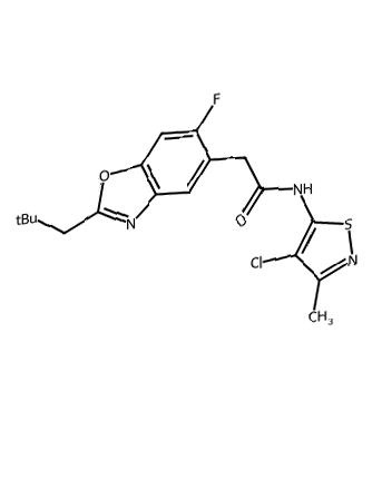 Cc1nsc(NC(=O)Cc2cc3nc(CC(C)(C)C)oc3cc2F)c1Cl